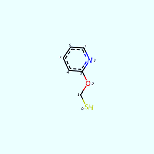 SCOc1ccccn1